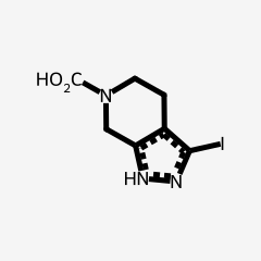 O=C(O)N1CCc2c(I)n[nH]c2C1